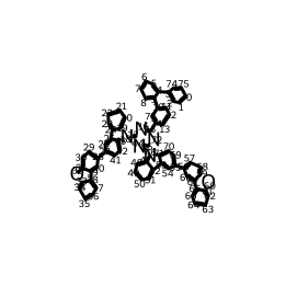 c1ccc(-c2ccccc2-c2cccc(-c3nc(-n4c5ccccc5c5cc(-c6ccc7oc8ccccc8c7c6)ccc54)nc(-n4c5ccccc5c5cc(-c6ccc7oc8ccccc8c7c6)ccc54)n3)c2)cc1